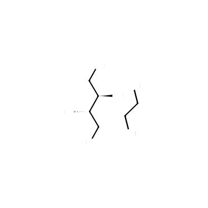 CCCC.OC[C@@H](O)[C@@H](O)CO